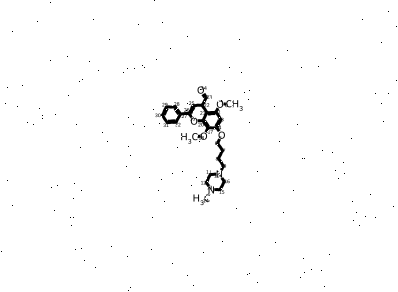 COc1cc(OCCCCN2CCN(C)CC2)c(OC)c2c1C(C=O)C=C(c1ccccc1)O2